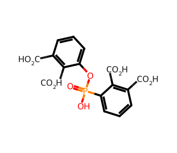 O=C(O)c1cccc(OP(=O)(O)c2cccc(C(=O)O)c2C(=O)O)c1C(=O)O